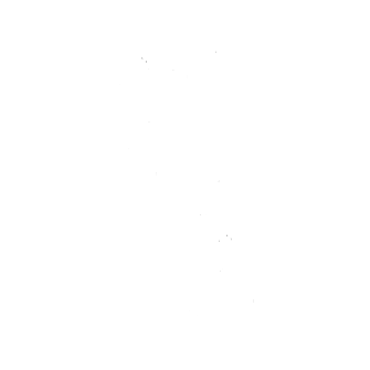 CC(C)(C)OC(=O)NCCc1ccc2c(c1)C(=O)NC2